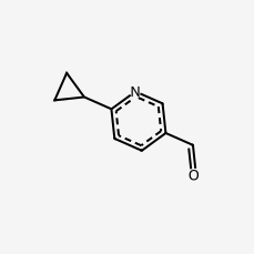 O=Cc1ccc(C2CC2)nc1